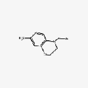 CC(C)CN1CCOc2cc(N)ccc21